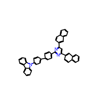 c1ccc2cc(-c3cc(-c4ccc5ccccc5c4)nc(-c4ccc(-c5ccc(-n6c7ccccc7c7ccccc76)cc5)cc4)n3)ccc2c1